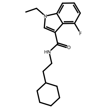 CCn1cc(C(=O)NCCC2CCCCC2)c2c(F)cccc21